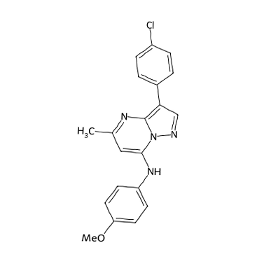 COc1ccc(Nc2cc(C)nc3c(-c4ccc(Cl)cc4)cnn23)cc1